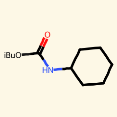 CC(C)COC(=O)NC1CCCCC1